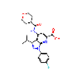 CC(C)c1nn(-c2ccc(F)cc2)c2nc(C(=O)O)cc(NC(=O)C3CCOCC3)c12